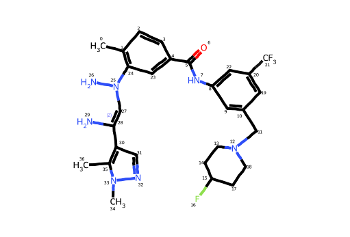 Cc1ccc(C(=O)Nc2cc(CN3CCC(F)CC3)cc(C(F)(F)F)c2)cc1N(N)/C=C(\N)c1cnn(C)c1C